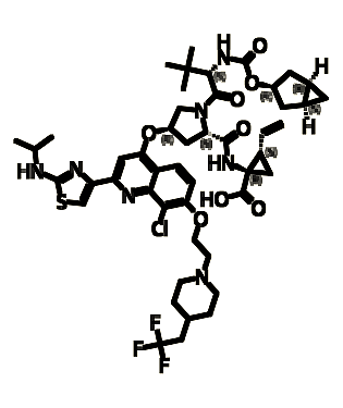 C=C[C@@H]1C[C@]1(NC(=O)[C@@H]1C[C@@H](Oc2cc(-c3csc(NC(C)C)n3)nc3c(Cl)c(OCCN4CCC(CC(F)(F)F)CC4)ccc23)CN1C(=O)[C@@H](NC(=O)O[C@@H]1C[C@@H]2C[C@@H]2C1)C(C)(C)C)C(=O)O